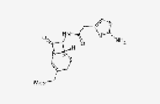 CSCC1=CN2C(=O)C(NC(=O)Cc3csc(N)n3)[C@@H]2SC1